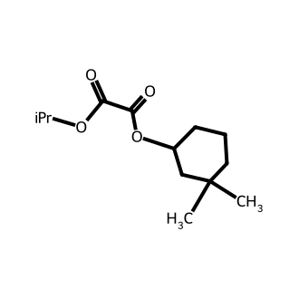 CC(C)OC(=O)C(=O)OC1CCCC(C)(C)C1